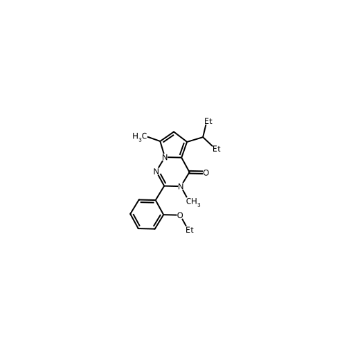 CCOc1ccccc1-c1nn2c(C)cc(C(CC)CC)c2c(=O)n1C